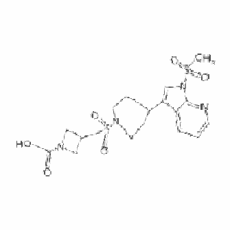 CS(=O)(=O)n1cc(C2CCN(S(=O)(=O)C3CN(C(=O)O)C3)CC2)c2cccnc21